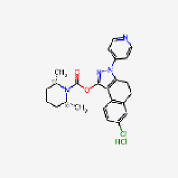 C[C@@H]1CCC[C@H](C)N1C(=O)Oc1nn(-c2ccncc2)c2c1-c1ccc(Cl)cc1CC2.Cl